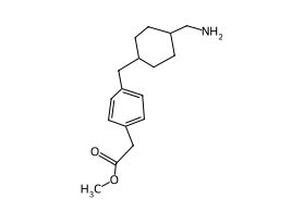 COC(=O)Cc1ccc(CC2CCC(CN)CC2)cc1